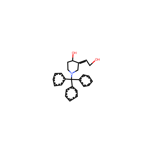 OCC=C1CN(C(c2ccccc2)(c2ccccc2)c2ccccc2)CCC1O